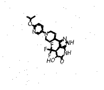 CC(C)Oc1ccc(N2CCC(c3n[nH]c4c3C(C(F)(F)F)C(O)C(=O)N4)CC2)cn1